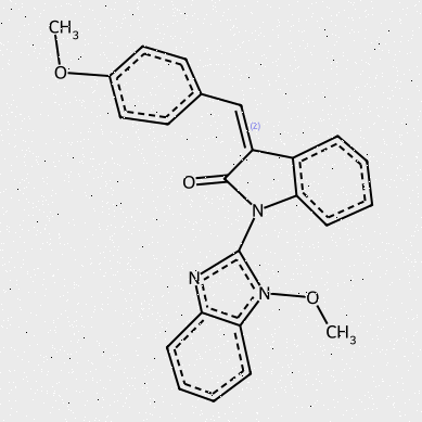 COc1ccc(/C=C2\C(=O)N(c3nc4ccccc4n3OC)c3ccccc32)cc1